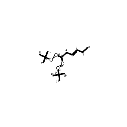 CCC=CCC(OOC(C)(C)C)OOC(C)(C)C